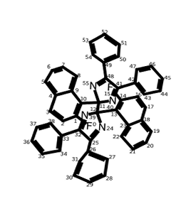 Fc1ccc2ccccc2c1C1(C2(c3c(F)ccc4ccccc34)N=C(c3ccccc3)C(c3ccccc3)=N2)N=C(c2ccccc2)C(c2ccccc2)=N1